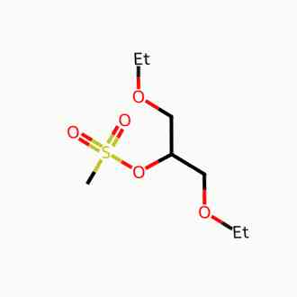 CCOCC(COCC)OS(C)(=O)=O